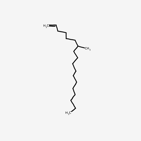 C=CCCCCC(C)CCCCCCCCCCC